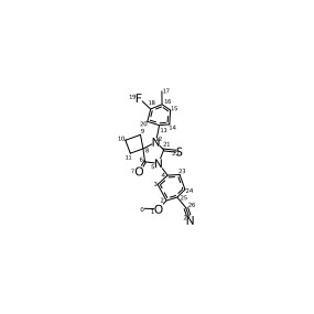 COc1cc(N2C(=O)C3(CCC3)N(c3ccc(C)c(F)c3)C2=S)ccc1C#N